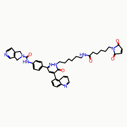 O=C(CCCCCN1C(=O)C=CC1=O)NCCCCCCn1nc(-c2ccc(NC(=O)N3Cc4ccncc4C3)cc2)cc(-c2cccc3ncccc23)c1=O